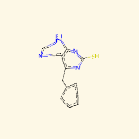 Sc1nc(Cc2ccccc2)c2nc[nH]c2n1